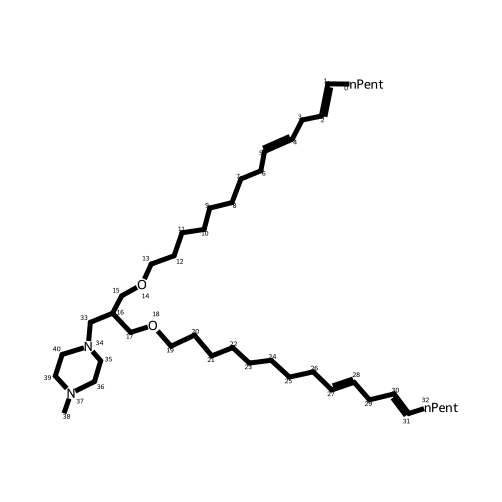 CCCCCC=CCC=CCCCCCCCCOCC(COCCCCCCCCC=CCC=CCCCCC)CN1CCN(C)CC1